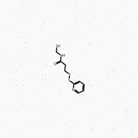 O=C(CCSSc1ccccn1)NCS